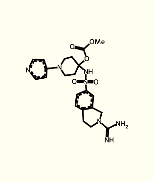 COC(=O)OC1(NS(=O)(=O)c2ccc3c(c2)CN(C(=N)N)CC3)CCN(c2ccncc2)CC1